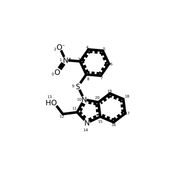 O=[N+]([O-])c1ccccc1Sn1c(CO)nc2ccccc21